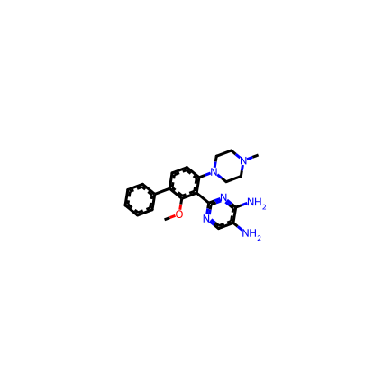 COc1c(-c2ccccc2)ccc(N2CCN(C)CC2)c1-c1ncc(N)c(N)n1